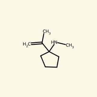 C=C(C)C1(NC)CCCC1